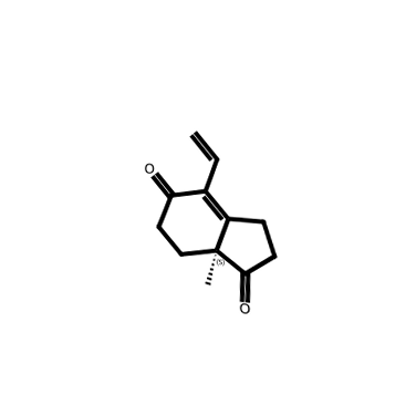 C=CC1=C2CCC(=O)[C@@]2(C)CCC1=O